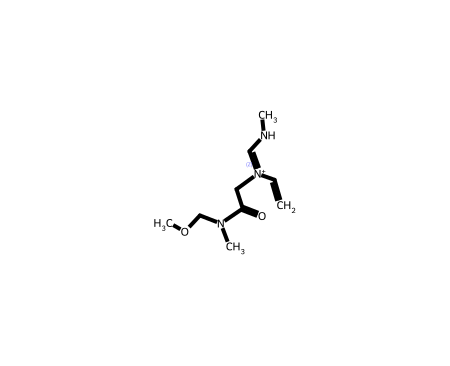 C=C/[N+](=C\NC)CC(=O)N(C)COC